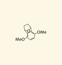 COc1ccc(OC)c2c1C1CCC2O1